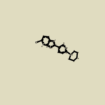 Clc1ccc2sc(-c3ccc(N4CCCCC4)nc3)nc2n1